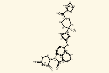 CC1(n2cc(Cc3ccc4c5c(cccc35)C(=O)N4C3CCC(=O)NC3=O)cn2)CCN(C(=O)C23CC(CO2)C3)CC1